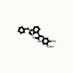 COc1ccc(C=C(C(N)=O)c2cccc3c2ncn3Cc2ccccc2)cc1OC(C)=O